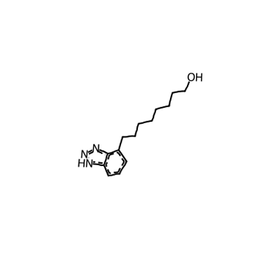 OCCCCCCCCc1cccc2[nH]nnc12